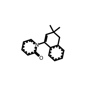 CC1(C)C=C(n2ccccc2=O)c2ccccc2C1